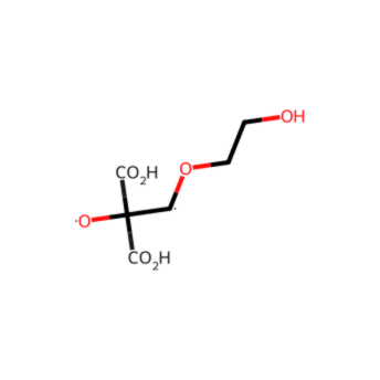 [O]C([CH]OCCO)(C(=O)O)C(=O)O